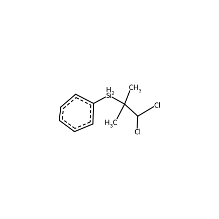 CC(C)([SiH2]c1ccccc1)C(Cl)Cl